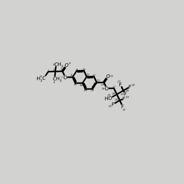 CCC(C)(C)C(=O)Oc1ccc2cc(C(=O)OCC(O)(C(F)(F)F)C(F)(F)F)ccc2c1